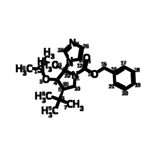 C[SiH](C)OC1[C@H](C(C)(C)C)CN(C(=O)OCc2ccccc2)[C@]1(C)n1ccnc1